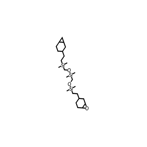 C[Si](C)(CCC1CCC2CC2C1)CO[Si](C)(C)CO[Si](C)(C)CCC1CCC2OC2C1